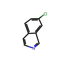 Clc1ccc2c[c]ncc2c1